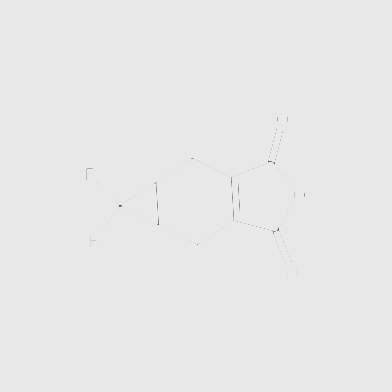 O=C1OC(=O)C2=C1CC1C(C2)C1(F)F